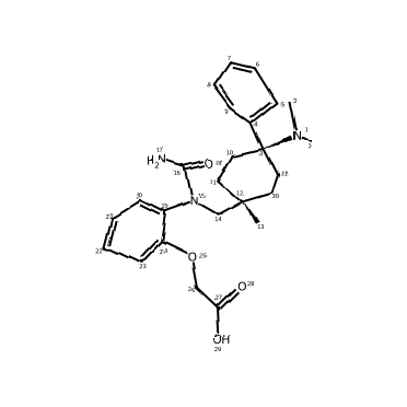 CN(C)[C@]1(c2ccccc2)CC[C@@](C)(CN(C(N)=O)c2ccccc2OCC(=O)O)CC1